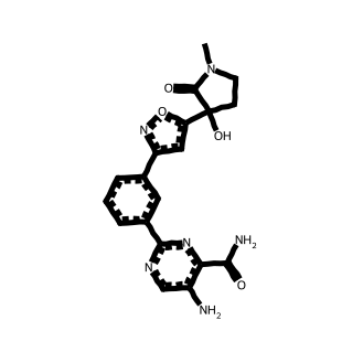 CN1CCC(O)(c2cc(-c3cccc(-c4ncc(N)c(C(N)=O)n4)c3)no2)C1=O